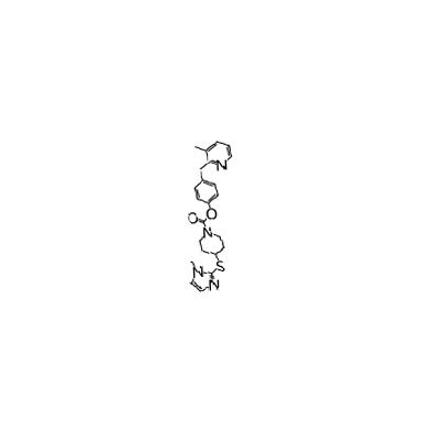 Cc1cccnc1Cc1ccc(OC(=O)N2CCC(Sc3nccn3C)CC2)cc1